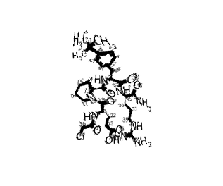 CC(C)(C)c1ccc(C[C@H](NC(=O)[C@@H]2CCCCN2C(=O)[C@H](CCC(=O)O)NC(=O)CCl)C(=O)N[C@@H](CCCNC(=N)N)C(N)=O)cc1